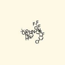 CC(C)(C)OC(=O)Nc1cc(Nc2cc(-c3cc(Cl)ccc3F)nnc2OC(F)C(F)F)ccn1